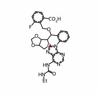 CCNC(=O)Nc1ncnc2c1ncn2-c1ccccc1C(OCc1c(F)cccc1C(=O)O)C1OCC2OCOC21